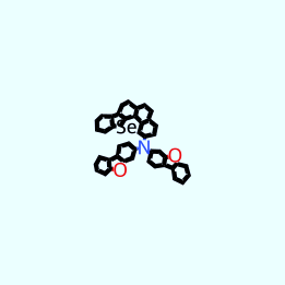 c1ccc2c(c1)oc1cc(N(c3ccc4c(c3)oc3ccccc34)c3ccc4ccc5ccc6c7ccccc7[se]c6c5c4c3)ccc12